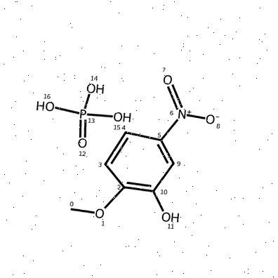 COc1ccc([N+](=O)[O-])cc1O.O=P(O)(O)O